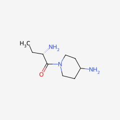 CC[C@H](N)C(=O)N1CCC(N)CC1